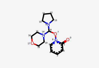 O=c1ccccn1OC(N1CCCC1)N1CCOCC1